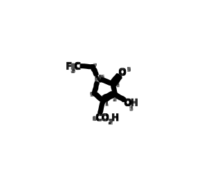 O=C(O)C1=C(O)C(=O)N(CC(F)(F)F)C1